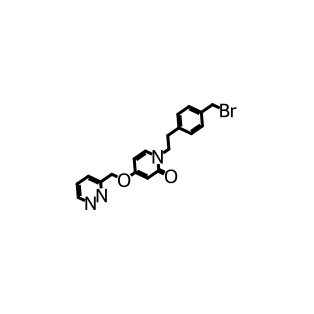 O=c1cc(OCc2cccnn2)ccn1CCc1ccc(CBr)cc1